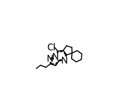 CCCc1cc2nc3c(c(Cl)n2n1)CCC31CCCCC1